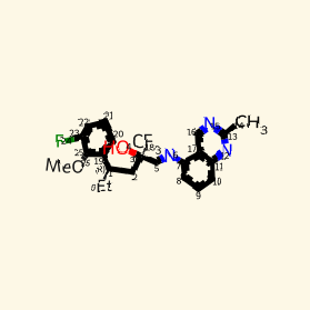 CC[C@H](C[C@@](O)(C=Nc1cccc2nc(C)ncc12)C(F)(F)F)c1cccc(F)c1OC